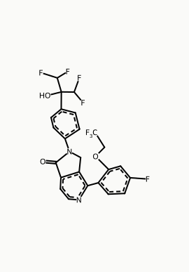 O=C1c2ccnc(-c3ccc(F)cc3OCC(F)(F)F)c2CN1c1ccc(C(O)(C(F)F)C(F)F)cc1